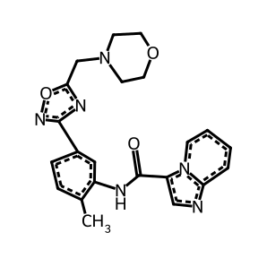 Cc1ccc(-c2noc(CN3CCOCC3)n2)cc1NC(=O)c1cnc2ccccn12